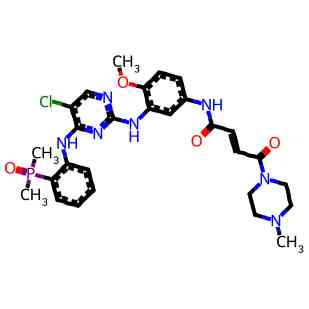 COc1ccc(NC(=O)C=CC(=O)N2CCN(C)CC2)cc1Nc1ncc(Cl)c(Nc2ccccc2P(C)(C)=O)n1